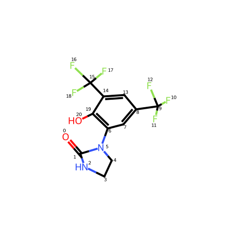 O=C1NCCN1c1cc(C(F)(F)F)cc(C(F)(F)F)c1O